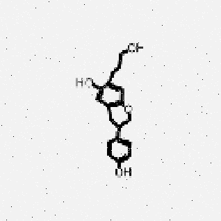 OCCCc1cc2c(cc1O)CC(c1ccc(O)cc1)CO2